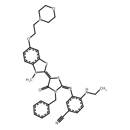 CCNc1ccc(C#N)cc1/N=C1/S/C(=C2\Sc3cc(OCCN4CCOCC4)ccc3N2C)C(=O)N1Cc1ccccc1